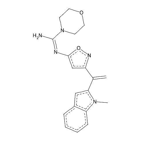 C=C(c1cc(/N=C(/N)N2CCOCC2)on1)c1cc2ccccc2n1C